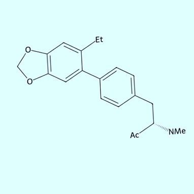 CCc1cc2c(cc1-c1ccc(C[C@H](NC)C(C)=O)cc1)OCO2